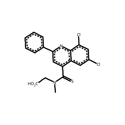 CN(CC(=O)O)C(=S)c1cc(-c2ccccc2)nc2c(Cl)cc(Cl)cc12